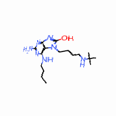 CCCCNc1nc(N)nc2nc(O)n(CCCCNC(C)(C)C)c12